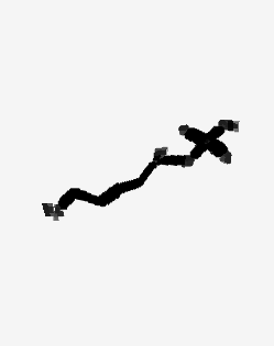 CCCCCNOS(=O)(=O)O